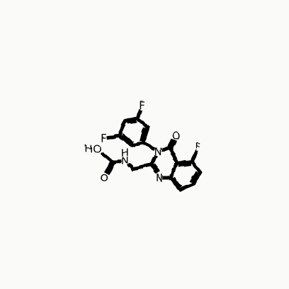 O=C(O)NCc1nc2cccc(F)c2c(=O)n1-c1cc(F)cc(F)c1